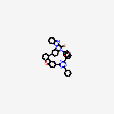 S=c1c2nc3ccccc3n2c2cc(-c3cccc4oc5ccc(-c6nc(-c7ccccc7)nc(-c7ccccc7)n6)cc5c34)ccc2n1-c1ccccc1